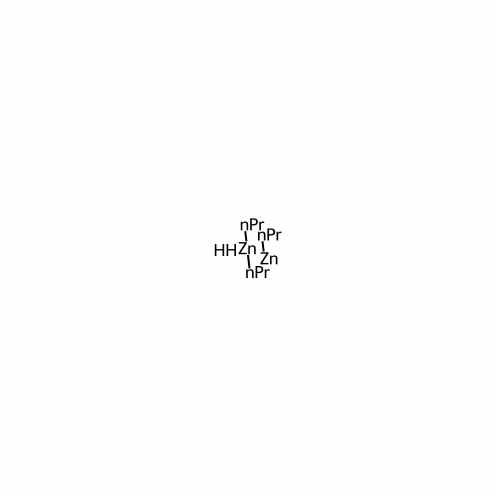 CC[CH2][Zn].CC[CH2][Zn][CH2]CC.[HH]